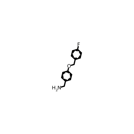 NCc1ccc(OCc2ccc(F)cc2)cc1